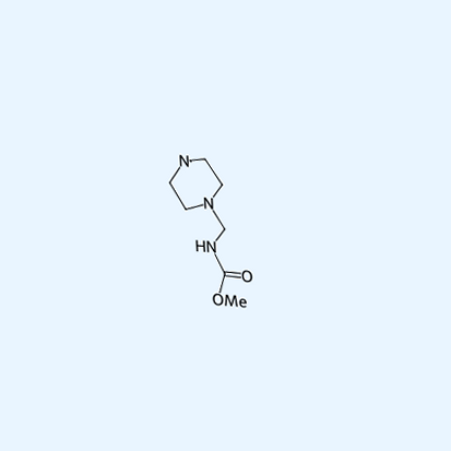 COC(=O)NCN1CC[N]CC1